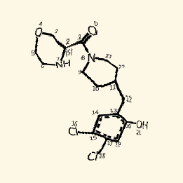 O=C([C@@H]1COCCN1)N1CCC(Cc2cc(Cl)c(Cl)cc2O)CC1